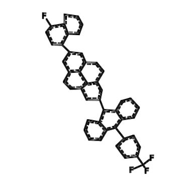 Fc1ccc(-c2cc3ccc4cc(-c5c6ccccc6c(-c6ccc(C(F)(F)F)cc6)c6ccccc56)cc5ccc(c2)c3c45)c2ccccc12